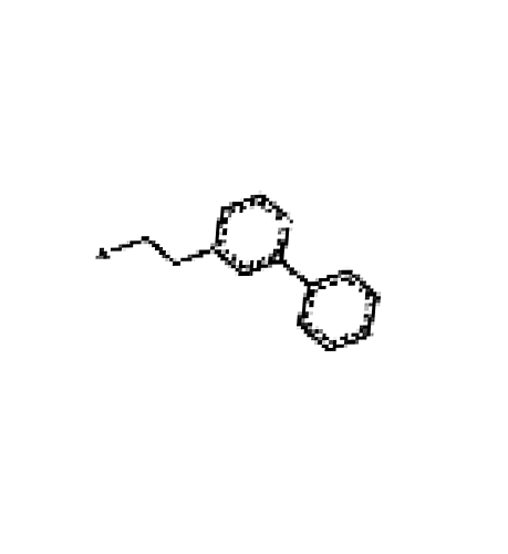 CCC(C)CCc1ccnc(-c2cc[c]cc2)c1